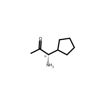 CC(=O)[C@@H](N)C1CCCC1